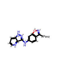 CCCC(C)c1noc2cc(Nc3n[nH]c4cccnc34)ccc12